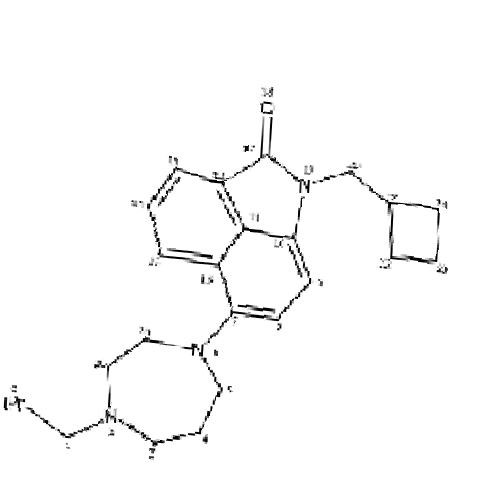 CC(C)CN1CCCN(c2ccc3c4c(cccc24)C(=O)N3CC2CCC2)CC1